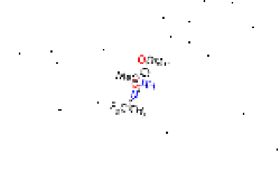 COC(=O)c1ccc(NC(=O)CN=CCC(C)C(F)(F)F)c(OC)c1